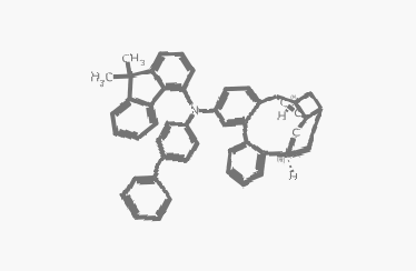 CC1(C)c2ccccc2-c2c(N(c3ccc(-c4ccccc4)cc3)c3ccc4c(c3)-c3ccccc3[C@@H]3CC5C[C@@H]6C4CCC56C3)cccc21